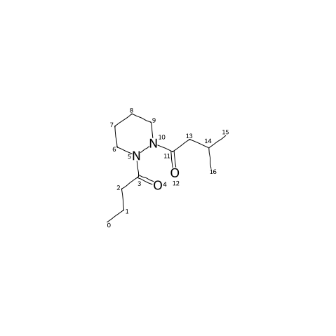 CCCC(=O)N1CCCCN1C(=O)CC(C)C